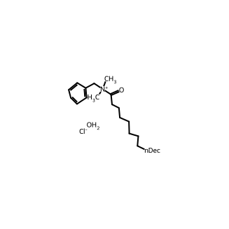 CCCCCCCCCCCCCCCCCC(=O)[N+](C)(C)Cc1ccccc1.O.[Cl-]